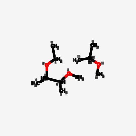 C[SiH2]O[SiH](C)[SiH](C)O[SiH3].C[SiH](C)O[SiH3]